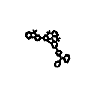 CC1(C)c2ccccc2-c2ccc(-c3cc4c5c(c3)c3cc(-c6ccc(N(c7ccccc7)c7ccccc7)cc6)cc6c3n5-c3c(cccc3C4(C)C)C6(C)C)cc21